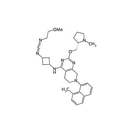 COCCN=C=NC1CC(Nc2nc(OC[C@@H]3CCCN3C)nc3c2CCN(c2cccc4cccc(C)c24)C3)C1